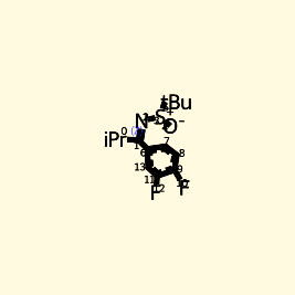 CC(C)/C(=N/[S+]([O-])C(C)(C)C)c1ccc(F)c(F)c1